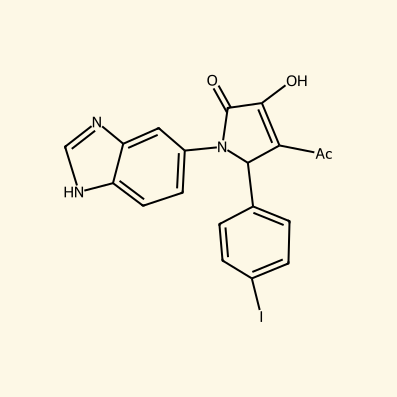 CC(=O)C1=C(O)C(=O)N(c2ccc3[nH]cnc3c2)C1c1ccc(I)cc1